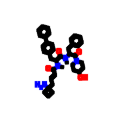 CN(C(=O)C=CCC1(N)CCC1)C(Cc1ccc(-c2ccccc2)cc1)C(=O)N(C)C(Cc1ccccc1)C(=O)N1CCC(O)CC1